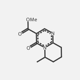 COC(=O)c1cnc2n(c1=O)C(C)CCC2